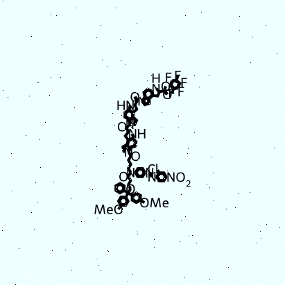 COc1ccc(C(OCCC(=O)N(CCCC(=O)n2ccc3c4c(ccc32)NC(C(=O)n2ccc3c5c(ccc32)NC(C(=O)n2ccc3c6c(ccc32)NC(C(=O)Oc2c(F)c(F)c(F)c(F)c2F)C6)C5)C4)c2ccc(N=Nc3ccc([N+](=O)[O-])cc3Cl)cc2)(c2ccccc2)c2ccc(OC)cc2)cc1